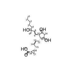 CCCCC[C@@](C)(O)/C=C/[C@@H]1[C@@H](C/C=C\C[C@@H]2C[C@H]2C(=O)O)[C@@H](O)C[C@H]1O